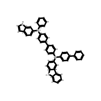 c1ccc(-c2ccc(N(c3ccc(-c4ccc(N(c5ccccc5)c5ccc6ccsc6c5)cc4)cc3)c3ccc4sc5ccccc5c4c3)cc2)cc1